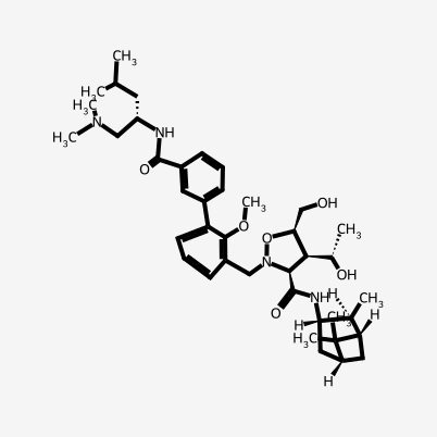 COc1c(CN2O[C@@H](CO)[C@@H]([C@H](C)O)[C@H]2C(=O)N[C@H]2C[C@H]3C[C@@H]([C@@H]2C)C3(C)C)cccc1-c1cccc(C(=O)N[C@@H](CC(C)C)CN(C)C)c1